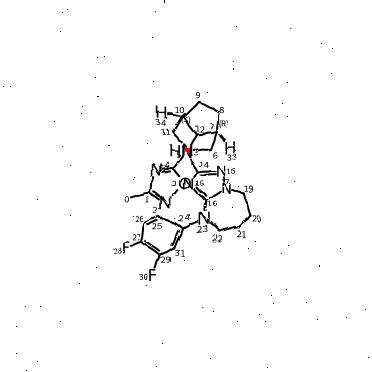 Cc1noc(N2C[C@H]3CC[C@@H](C2)C3Nc2nc3n(n2)CCCCN3c2ccc(F)c(F)c2)n1